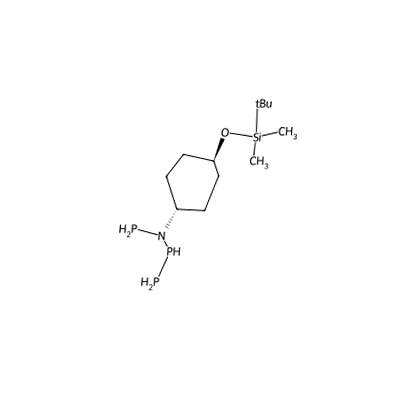 CC(C)(C)[Si](C)(C)O[C@H]1CC[C@H](N(P)PP)CC1